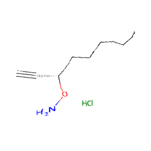 C#C[C@H](CCCCC)ON.Cl